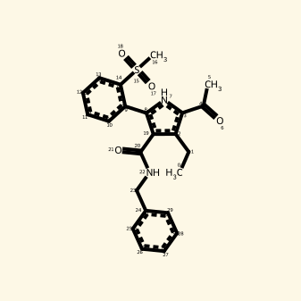 CCc1c(C(C)=O)[nH]c(-c2ccccc2S(C)(=O)=O)c1C(=O)NCc1ccccc1